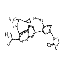 COc1ccc(N2CCOC2=O)cc1-c1ccc2c(NC(C)C3CC3)c(C(N)=O)nnc2c1